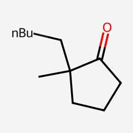 CCCCCC1(C)CCCC1=O